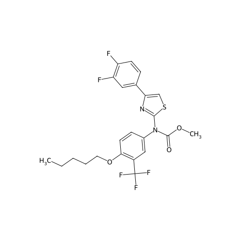 CCCCCOc1ccc(N(C(=O)OC)c2nc(-c3ccc(F)c(F)c3)cs2)cc1C(F)(F)F